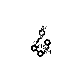 CC(=O)N1CCN(CCCOc2cccc(-c3cccc(NN4Cc5ccccc5S4)c3)c2Cl)CC1